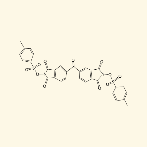 Cc1ccc(S(=O)(=O)ON2C(=O)c3ccc(C(=O)c4ccc5c(c4)C(=O)N(OS(=O)(=O)c4ccc(C)cc4)C5=O)cc3C2=O)cc1